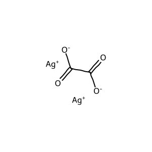 O=C([O-])C(=O)[O-].[Ag+].[Ag+]